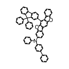 c1ccc(-c2ccc(N(c3ccccc3)c3ccc4c(c3)oc3c(-c5ccc6c(c5)C(c5ccccc5)(c5ccccc5)c5ccccc5-6)c5c(cc34)oc3ccccc35)cc2)cc1